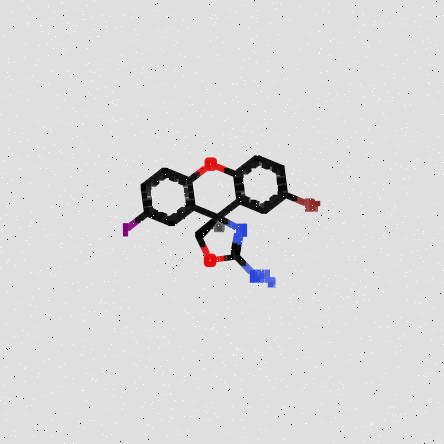 NC1=N[C@@]2(CO1)c1cc(Br)ccc1Oc1ccc(I)cc12